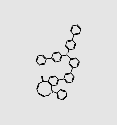 C=C1/C=C\C=C/CN(c2ccccc2)c2cc(-c3cccc(-c4cccc(N(c5ccc(-c6ccccc6)cc5)c5ccc(-c6ccccc6)cc5)c4)c3)ccc21